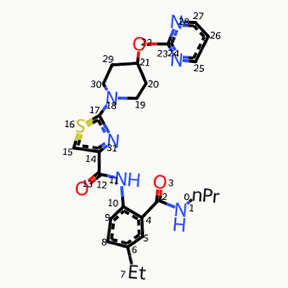 CCCNC(=O)c1cc(CC)ccc1NC(=O)c1csc(N2CCC(Oc3ncccn3)CC2)n1